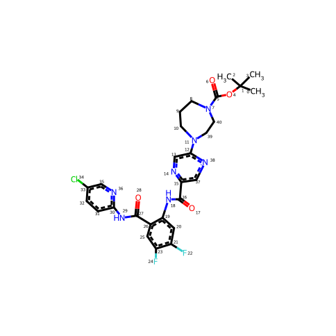 CC(C)(C)OC(=O)N1CCCN(c2cnc(C(=O)Nc3cc(F)c(F)cc3C(=O)Nc3ccc(Cl)cn3)cn2)CC1